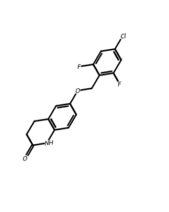 O=C1CCc2cc(OCc3c(F)cc(Cl)cc3F)ccc2N1